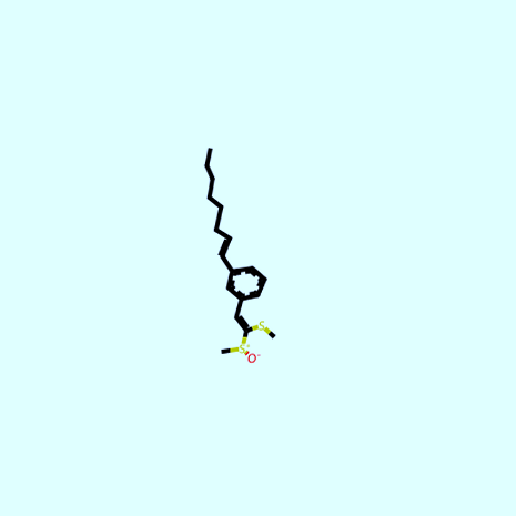 CCCCCCC=Cc1cccc(/C=C(\SC)[S+](C)[O-])c1